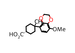 COc1ccc([C@]2(C)CC[C@H](C(=O)O)CC2)c2c1OCCO2